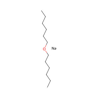 CCCCCCOCCCCCC.[Na]